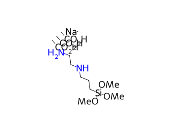 CC(=O)O.CC(=O)O.CC(=O)O.CO[Si](CCCNCCN)(OC)OC.[Na]